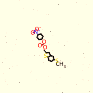 CSc1ccc2sc(COC(=O)Oc3ccc([N+](=O)[O-])cc3)cc2c1